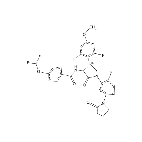 COc1cc(F)c([C@@H]2CN(c3nc(N4CCCC4=O)ccc3F)C(=O)C2NC(=O)c2ccc(OC(F)F)cc2)c(F)c1